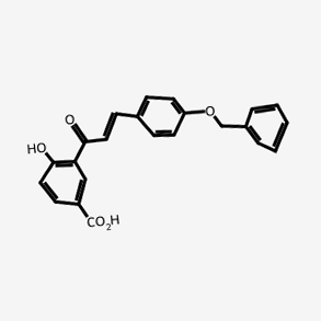 O=C(O)c1ccc(O)c(C(=O)/C=C/c2ccc(OCc3ccccc3)cc2)c1